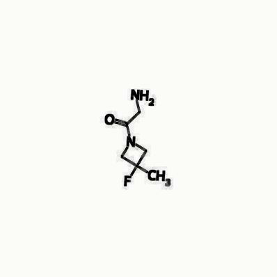 CC1(F)CN(C(=O)CN)C1